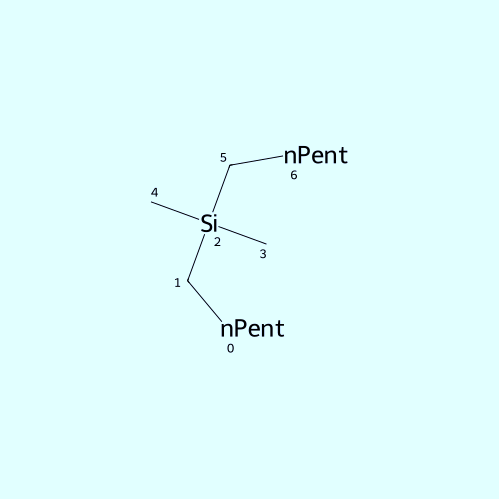 CCCCCC[Si](C)(C)CCCCCC